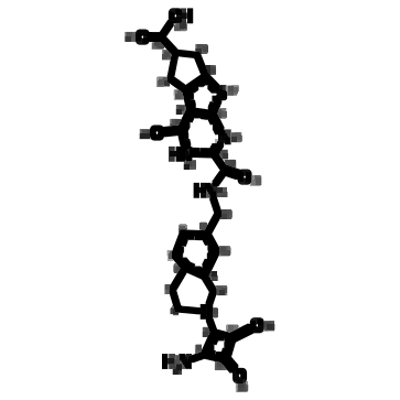 Nc1c(N2CCc3ccc(CNC(=O)c4nc5sc6c(c5c(=O)[nH]4)CC(C(=O)O)C6)cc3C2)c(=O)c1=O